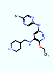 N#Cc1cnc(Nc2cc(NCC3CCNCC3)c(OCC(F)(F)F)nn2)cn1